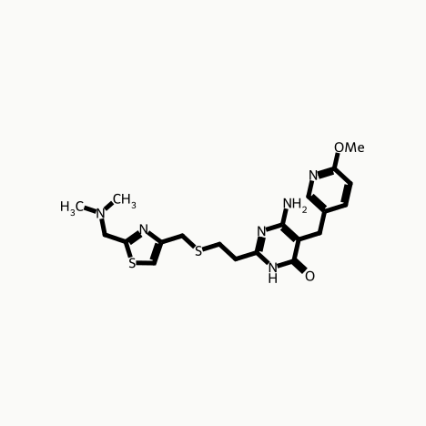 COc1ccc(Cc2c(N)nc(CCSCc3csc(CN(C)C)n3)[nH]c2=O)cn1